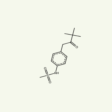 CC(C)(C)C(=O)Cc1ccc(NS(C)(=O)=O)cc1